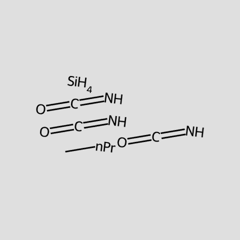 CCCC.N=C=O.N=C=O.N=C=O.[SiH4]